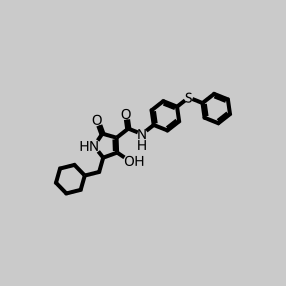 O=C(Nc1ccc(Sc2ccccc2)cc1)C1=C(O)C(CC2CCCCC2)NC1=O